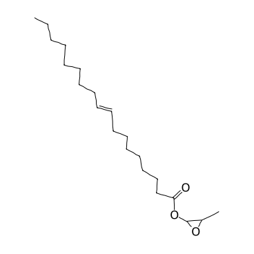 CCCCCCCCC=CCCCCCCCC(=O)OC1OC1C